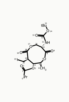 CC(C)C(=O)O[C@H]1[C@H](C)OC(=O)[C@@H](NC(=O)OC(C)(C)C)COC(=O)[C@@H]1CI